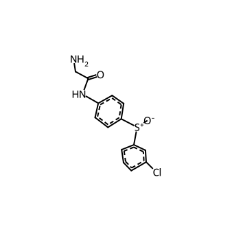 NCC(=O)Nc1ccc([S+]([O-])c2cccc(Cl)c2)cc1